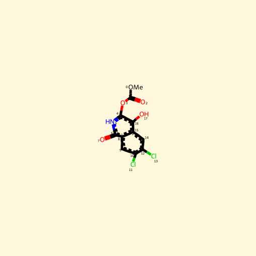 COC(=O)Oc1[nH]c(=O)c2cc(Cl)c(Cl)cc2c1O